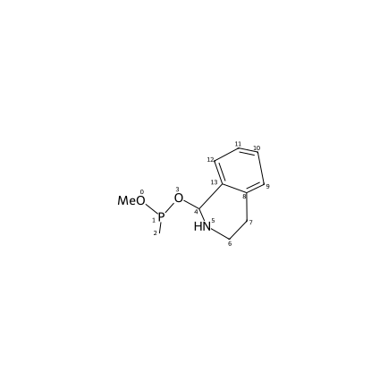 COP(C)OC1NCCc2ccccc21